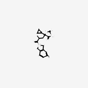 CC(CC1(C2CC2)NC(=O)NC1=O)C(=O)N1Cc2ccc(C(F)(F)F)cc2C1